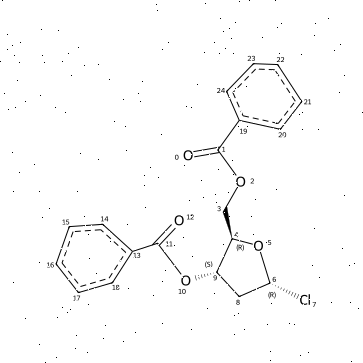 O=C(OC[C@H]1O[C@H](Cl)C[C@@H]1OC(=O)c1ccccc1)c1ccccc1